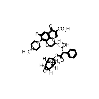 CN1[C@@H]2C[C@@H](OC(=O)[C@H](CO)c3ccccc3)C[C@H]1[C@@H]1O[C@@H]12.C[C@H]1COc2c(N3CCN(C)CC3)c(F)cc3c(=O)c(C(=O)O)cn1c23